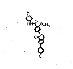 COc1cc(N2CCc3cc(-c4ccc(Cl)cc4)sc3C2=O)ccc1C(=O)NC1CCNCC1